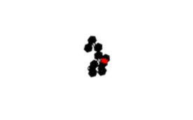 C1=CC(c2cc(-c3cccc(-n4c5ccccc5c5ccccc54)c3)ccc2N(c2ccc3oc4ccccc4c3c2)c2cccc3c2sc2ccccc23)=CCC1